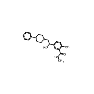 CNC(=O)c1cc(C(O)CN2CCN(c3ccccc3)CC2)ccc1O